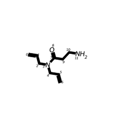 C=CCN(CC=C)C(=O)CCN